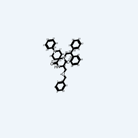 O=C1C(COCc2ccccc2)NC(=O)C2(CCN(c3ccccc3)CC2)N1CC(c1ccccc1)c1ccccc1